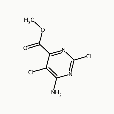 COC(=O)c1nc(Cl)nc(N)c1Cl